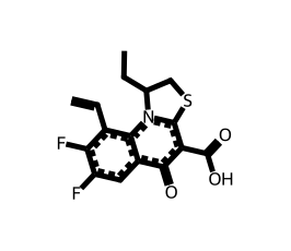 C=Cc1c(F)c(F)cc2c(=O)c(C(=O)O)c3n(c12)C(CC)CS3